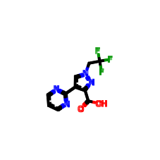 O=C(O)c1nn(CC(F)(F)F)cc1-c1ncccn1